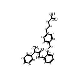 CC(C(=O)Nc1ccccc1OCc1ccc(CCCC(=O)O)cc1)c1ccccc1